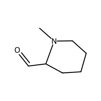 CN1CCCCC1C=O